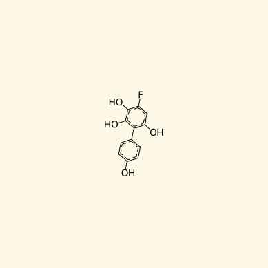 Oc1ccc(-c2c(O)cc(F)c(O)c2O)cc1